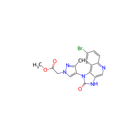 COC(=O)Cn1cc(-n2c(=O)[nH]c3cnc4ccc(Br)cc4c32)c(C)n1